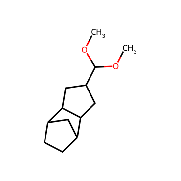 COC(OC)C1CC2C3CCC(C3)C2C1